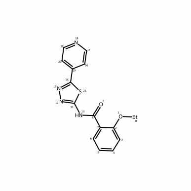 CCOc1ccccc1C(=O)Nc1nnc(-c2ccncc2)s1